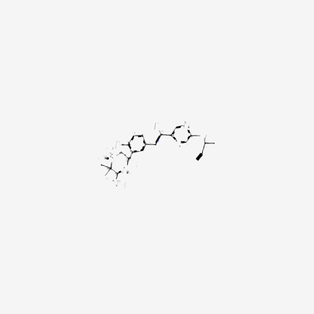 C#CC(C)Oc1cnc(/C(F)=C/c2ccc(F)c([C@]3(C)CS(=O)(=O)C(C)(C)C(N)=N3)c2)cn1